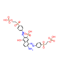 Nc1ccc2c(O)c(/N=N/c3ccc(S(=O)(=O)CCOS(=O)(=O)O)cc3)c(S(=O)(=O)O)cc2c1/N=N/c1ccc(S(=O)(=O)CCOS(=O)(=O)O)cc1